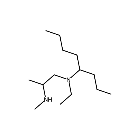 CCCCC(CCC)N(CC)CC(C)NC